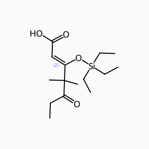 CCC(=O)C(C)(C)/C(=C/C(=O)O)O[Si](CC)(CC)CC